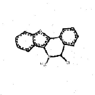 CN1c2c(oc3ccccc23)-c2ccccc2C1Cl